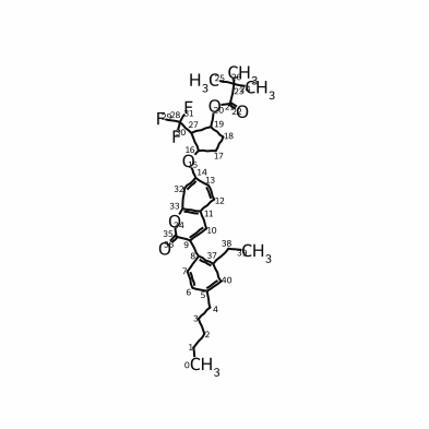 CCCCCc1ccc(-c2cc3ccc(OC4CCC(OC(=O)C(C)(C)C)C4C(F)(F)F)cc3oc2=O)c(CC)c1